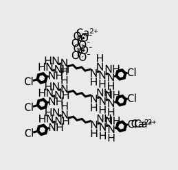 N=C(NCCCCCCNC(=N)NC(=N)Nc1ccc(Cl)cc1)NC(=N)Nc1ccc(Cl)cc1.N=C(NCCCCCCNC(=N)NC(=N)Nc1ccc(Cl)cc1)NC(=N)Nc1ccc(Cl)cc1.N=C(NCCCCCCNC(=N)NC(=N)Nc1ccc(Cl)cc1)NC(=N)Nc1ccc(Cl)cc1.O=P([O-])([O-])[O-].O=P([O-])([O-])[O-].[Ca+2].[Ca+2].[Ca+2]